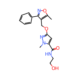 Cc1onc(-c2ccccc2)c1COc1cc(C(=O)NCCO)n(C)n1